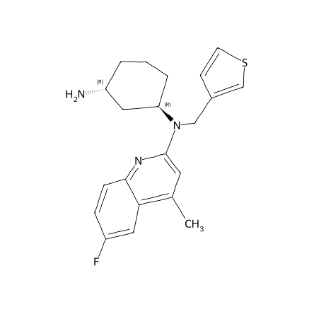 Cc1cc(N(Cc2ccsc2)[C@@H]2CCC[C@@H](N)C2)nc2ccc(F)cc12